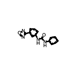 O=C(Nc1ccccc1)Nc1cccc(-c2ncon2)c1